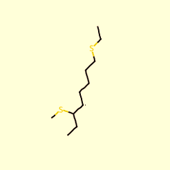 CCSCCCC[CH]C(CC)SC